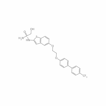 NP(=O)(CO)Nc1cc2cc(OCCOc3ccc(-c4ccc(C(F)(F)F)cc4)cc3)ccc2s1